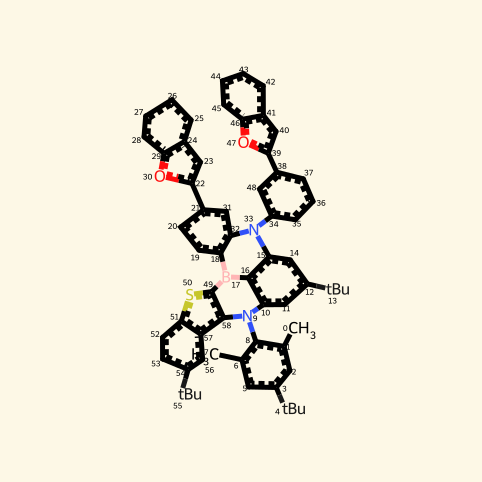 Cc1cc(C(C)(C)C)cc(C)c1N1c2cc(C(C)(C)C)cc3c2B(c2ccc(-c4cc5ccccc5o4)cc2N3c2cccc(-c3cc4ccccc4o3)c2)c2sc3ccc(C(C)(C)C)cc3c21